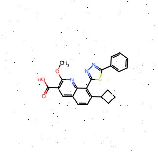 COc1nc2c(-c3nnc(-c4ccccc4)s3)c(C3CCC3)ccc2cc1C(=O)O